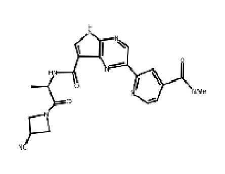 CNC(=O)c1ccnc(-c2cnc3[nH]cc(C(=O)N[C@H](C)C(=O)N4CC(C#N)C4)c3n2)c1